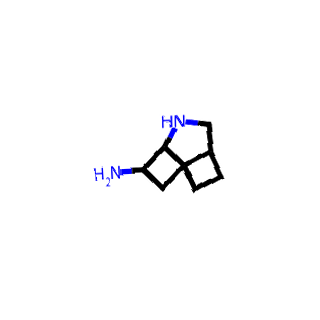 NC1CC23CCC2CNC13